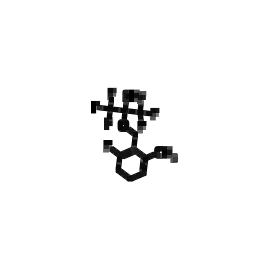 CC1=CCCC(F)=C1COC(S)(C(F)(F)F)C(F)(F)F